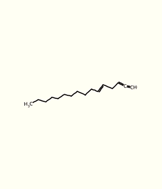 [CH]=C=CCC=CCCCCCCCCCC